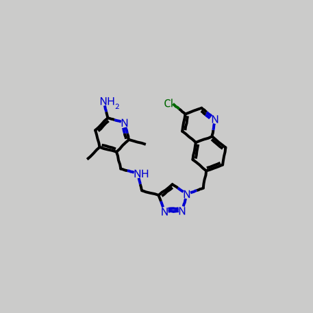 Cc1cc(N)nc(C)c1CNCc1cn(Cc2ccc3ncc(Cl)cc3c2)nn1